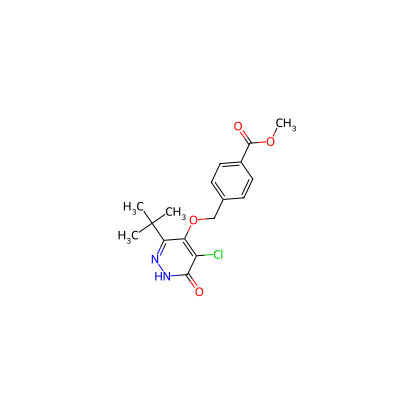 COC(=O)c1ccc(COc2c(C(C)(C)C)n[nH]c(=O)c2Cl)cc1